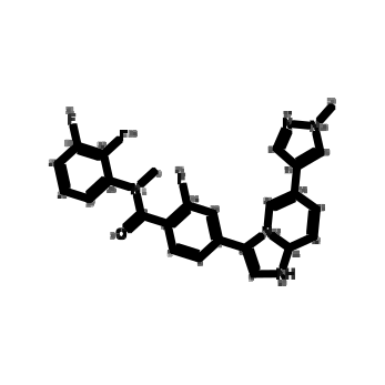 CN(C(=O)c1ccc(C2=CNC3C=CC(c4cnn(C)c4)=CN23)cc1F)c1cccc(F)c1F